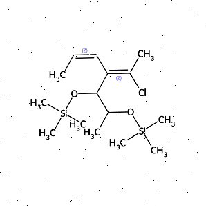 C/C=C\C(=C(/C)Cl)C(O[Si](C)(C)C)C(C)O[Si](C)(C)C